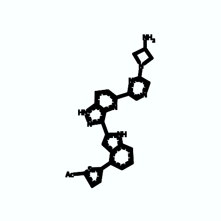 CC(=O)c1ccc(-c2cccc3[nH]c(-c4n[nH]c5ccc(-c6cncc(N7CC(N)C7)n6)nc45)cc23)s1